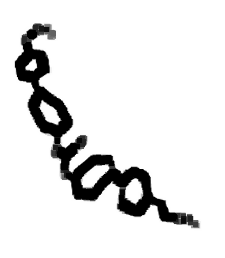 CCC[C@H]1CC[C@H]([C@H]2CC[C@H](OC(=O)O[C@H]3CC[C@H](c4ccc(OC)cc4)CC3)CC2)CC1